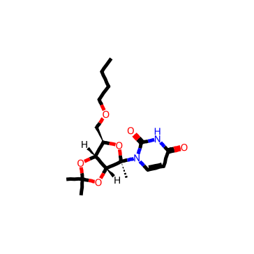 CCCCOC[C@H]1O[C@@](C)(n2ccc(=O)[nH]c2=O)[C@@H]2OC(C)(C)O[C@@H]21